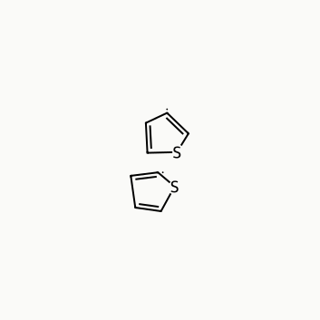 [c]1cccs1.[c]1ccsc1